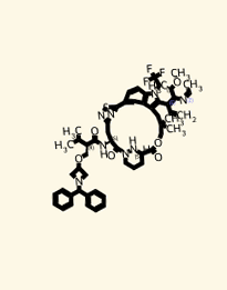 C=C/C(=C(\N=C/C)[C@H](C)OC)c1c2c3cc(ccc3n1CC(F)(F)F)-c1nc(ns1)C[C@H](NC(=O)[C@@H](COC1CN(C(c3ccccc3)c3ccccc3)C1)C(C)C)C(=O)N1CCC[C@H](N1)C(=O)OCC(C)(C)C2